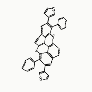 c1ccc(-c2c(-c3ccsc3)cc3ccc4sc5c(-c6ccccc6)c(-c6ccsc6)cc6ccc7sc2c3c4-c7c65)cc1